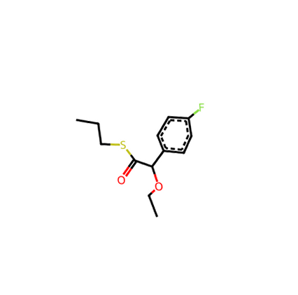 CCCSC(=O)C(OCC)c1ccc(F)cc1